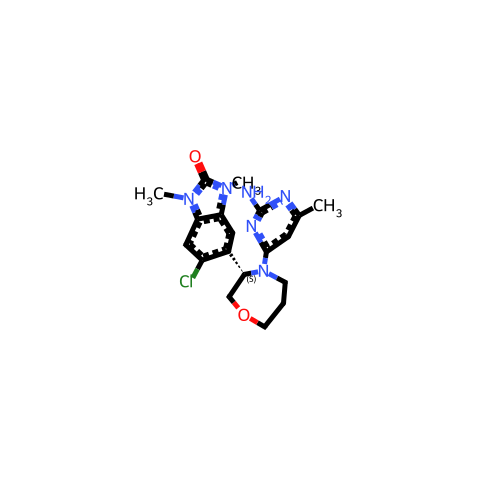 Cc1cc(N2CCCOC[C@@H]2c2cc3c(cc2Cl)n(C)c(=O)n3C)nc(N)n1